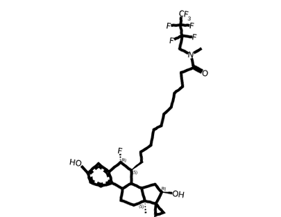 CN(CC(F)(F)C(F)(F)C(F)(F)F)C(=O)CCCCCCCCCC[C@H]1C2C(CC[C@@]3(C)C2C[C@@H](O)C32CC2)c2ccc(O)cc2[C@@H]1F